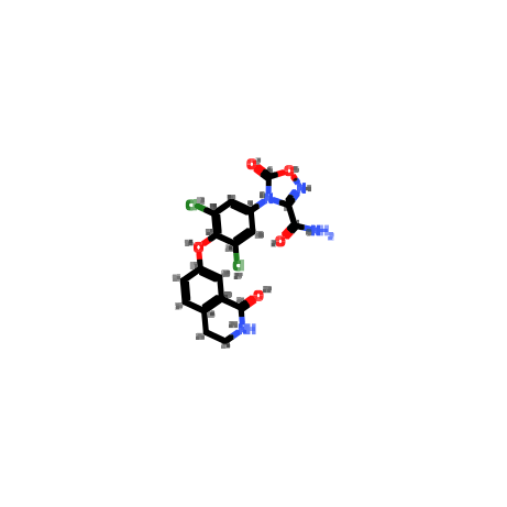 NC(=O)c1noc(=O)n1-c1cc(Cl)c(Oc2ccc3c(c2)C(=O)NCC3)c(Cl)c1